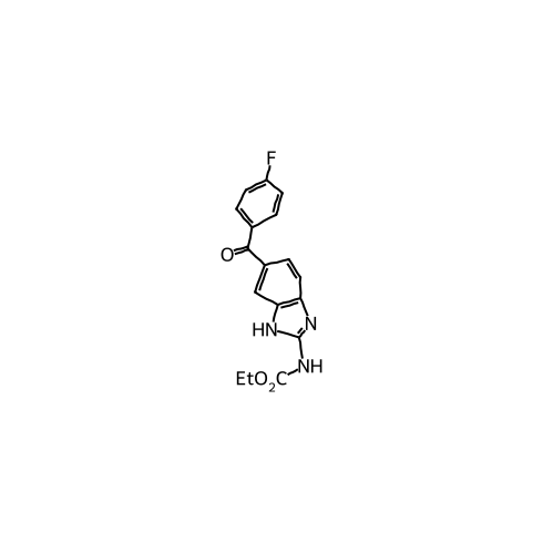 CCOC(=O)Nc1nc2ccc(C(=O)c3ccc(F)cc3)cc2[nH]1